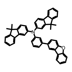 CC1(C)c2ccccc2-c2cc(N(c3cccc(-c4ccc5oc6ccccc6c5c4)c3)c3ccc4c(c3)C(C)(C)c3ccccc3-4)ccc21